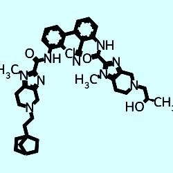 C[C@@H](O)CN1CCc2c(nc(C(=O)Nc3cccc(-c4cccc(NC(=O)c5nc6c(n5C)CCN(CCC57CCC(CC5)C7)C6)c4Cl)c3C#N)n2C)C1